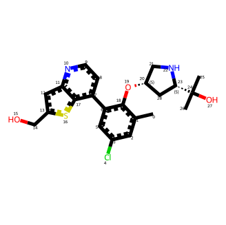 Cc1cc(Cl)cc(-c2ccnc3cc(CO)sc23)c1O[C@@H]1CN[C@H](C(C)(C)O)C1